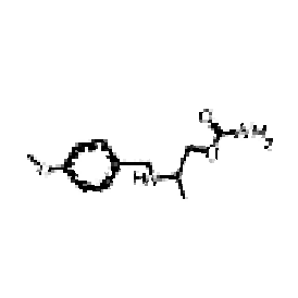 COc1ccc(CNC(C)COC(N)=O)cc1